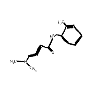 Cc1ccccc1NC(=O)/C=C/CN(C)C